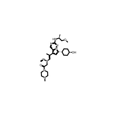 C=NN(/C=C(\C)c1cc([C@H]2CC[C@H](O)CC2)n2nc(N[C@@H](C)COC)ncc12)CC(=O)N1CCN(C)CC1